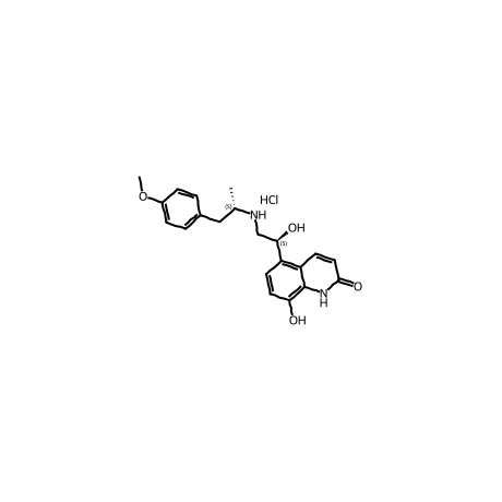 COc1ccc(C[C@H](C)NC[C@@H](O)c2ccc(O)c3[nH]c(=O)ccc23)cc1.Cl